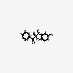 Cc1ccc2c(c1)C(C)C(C)(C(=O)c1ccccn1)O2